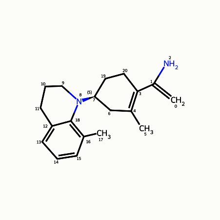 C=C(N)C1=C(C)C[C@@H](N2CCCc3cccc(C)c32)CC1